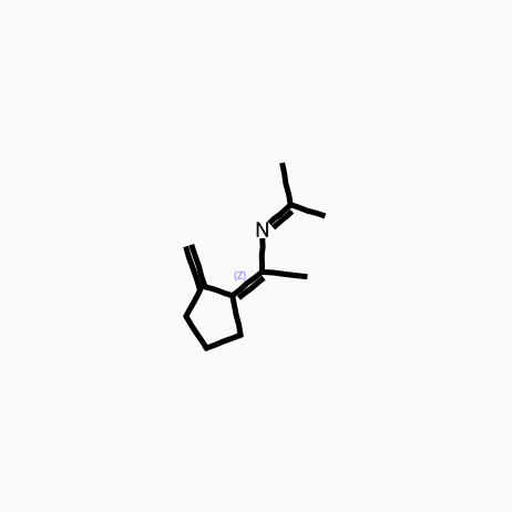 C=C1CCC/C1=C(\C)N=C(C)C